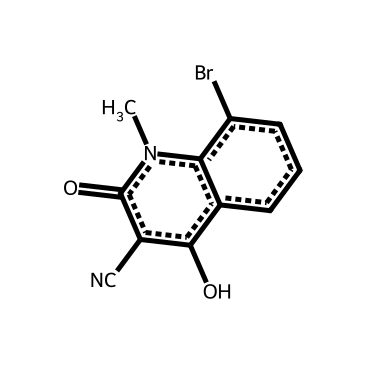 Cn1c(=O)c(C#N)c(O)c2cccc(Br)c21